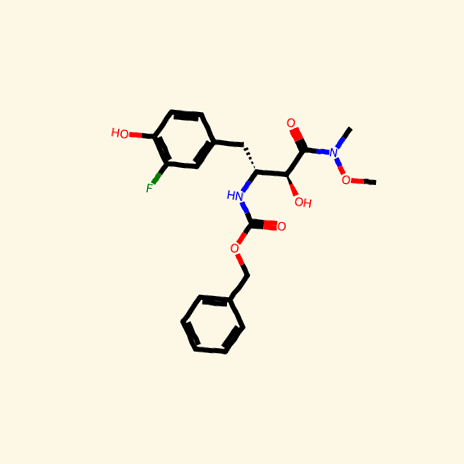 CON(C)C(=O)[C@@H](O)[C@@H](Cc1ccc(O)c(F)c1)NC(=O)OCc1ccccc1